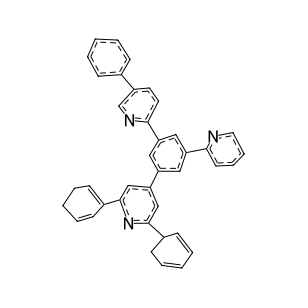 C1=CCC(c2cc(-c3cc(-c4ccccn4)cc(-c4ccc(-c5ccccc5)cn4)c3)cc(C3=CCCC=C3)n2)C=C1